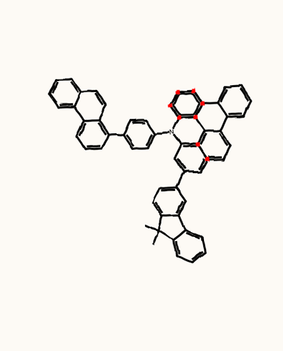 CC1(C)c2ccccc2-c2cc(-c3cccc(N(c4ccc(-c5cccc6c5ccc5ccccc56)cc4)c4ccccc4-c4ccccc4-c4ccccc4-c4ccccc4)c3)ccc21